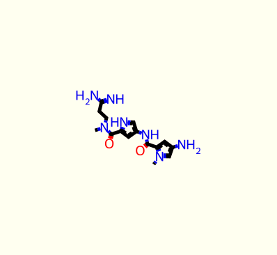 CN(CCC(=N)N)C(=O)c1cc(NC(=O)c2cc(N)cn2C)c[nH]1